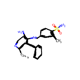 Cc1cc(CNc2c(N)cnc(C)c2-c2ccccc2)ccc1S(N)(=O)=O